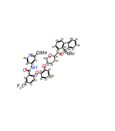 COc1cc(NC(=O)c2cc(C(F)(F)F)ccc2Oc2ccc(F)cc2OC2CCC(CO[Si](c3ccccc3)(c3ccccc3)C(C)(C)C)OC2)ccn1